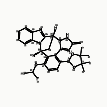 C=C1N=C2c3c(B4OC(C)(C)C(C)(C)O4)ccc(OC(F)F)c3[C@H]3C[C@H](c4nc5ccccc5n43)N2N1